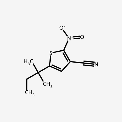 CCC(C)(C)c1cc(C#N)c([N+](=O)[O-])s1